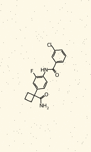 NC(=O)C1(c2ccc(NC(=O)c3cccc(Cl)c3)c(F)c2)CCC1